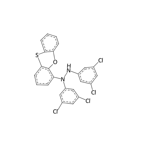 Clc1cc(Cl)cc(NN(c2cc(Cl)cc(Cl)c2)c2cccc3c2Oc2ccccc2S3)c1